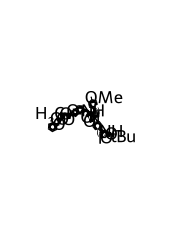 CO[C@H]1CC[C@H]([C@@H]2CCN(C(=O)[C@H]3CC[C@H]([C@@H](CF)NC(=O)OC(C)(C)C)CC3)[C@@H]2C(=O)Nc2ccc3oc(C(=O)OC(C)OC(=O)OC4CCCCC4)cc3c2)CC1